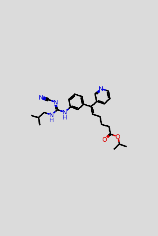 CC(C)CNC(=NC#N)Nc1cccc(C(=CCCCC(=O)OC(C)C)c2cccnc2)c1